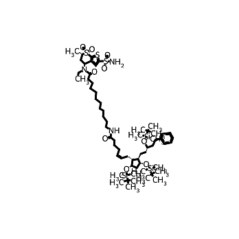 CCN(C(=O)CCCCCCCCCCCNC(=O)CCC/C=C\C[C@@H]1[C@@H](CC[C@@H](CCc2ccccc2)O[Si](C)(C)C(C)(C)C)[C@H](O[Si](C)(C)C(C)(C)C)C[C@@H]1O[Si](C)(C)C(C)(C)C)[C@H]1C[C@H](C)S(=O)(=O)c2sc(S(N)(=O)=O)cc21